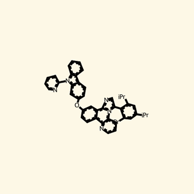 CC(C)c1cc(C(C)C)c(-c2cnc3c4cc(Oc5ccc6c7ccccc7n(-c7ccccn7)c6c5)ccc4c4ncccc4n23)c(C(C)C)c1